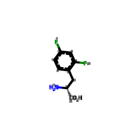 N[C@H](Cc1ccc(F)cc1F)C(=O)O